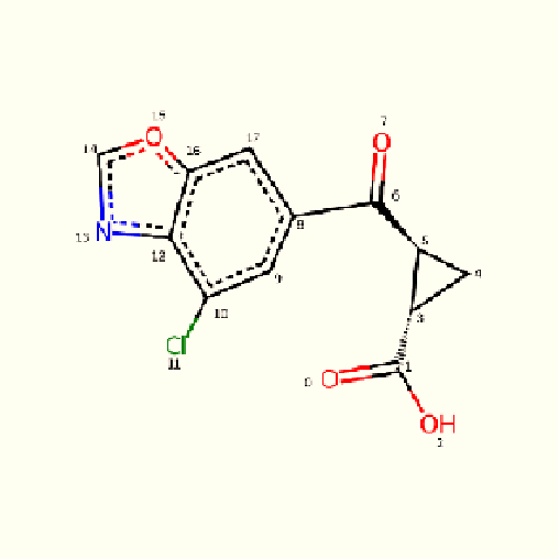 O=C(O)[C@H]1C[C@@H]1C(=O)c1cc(Cl)c2ncoc2c1